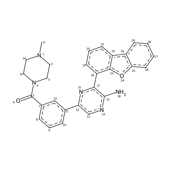 CN1CCN(C(=O)c2cccc(-c3cnc(N)c(-c4cccc5c4oc4ccccc45)n3)c2)CC1